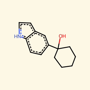 OC1(c2ccc3[nH]ccc3c2)CCCCC1